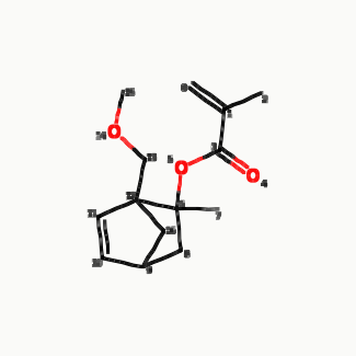 C=C(C)C(=O)OC1(C)CC2C=CC1(COC)C2